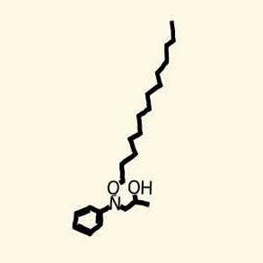 CCCCCCCCCCCCCCON(CC(C)O)c1ccccc1